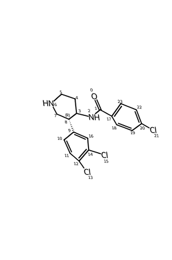 O=C(NC1CCNC[C@H]1c1ccc(Cl)c(Cl)c1)c1ccc(Cl)cc1